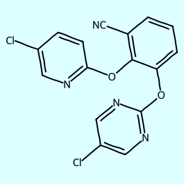 N#Cc1cccc(Oc2ncc(Cl)cn2)c1Oc1ccc(Cl)cn1